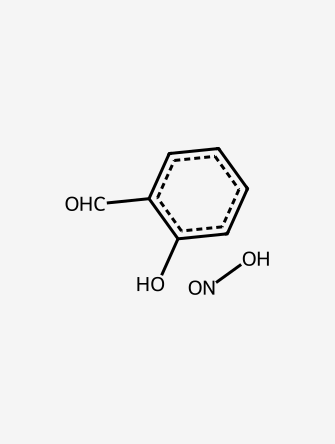 O=Cc1ccccc1O.O=NO